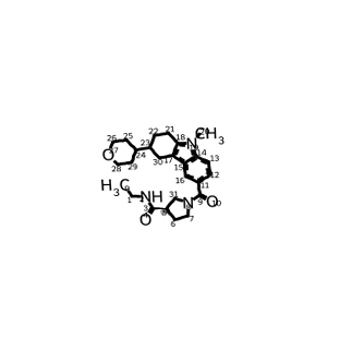 CCNC(=O)[C@@H]1CCN(C(=O)c2ccc3c(c2)c2c(n3C)CCC(C3CCOCC3)C2)C1